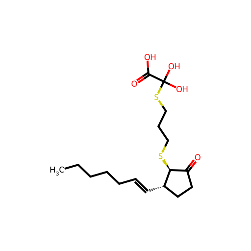 CCCCC/C=C/[C@H]1CCC(=O)[C@@H]1SCCCSC(O)(O)C(=O)O